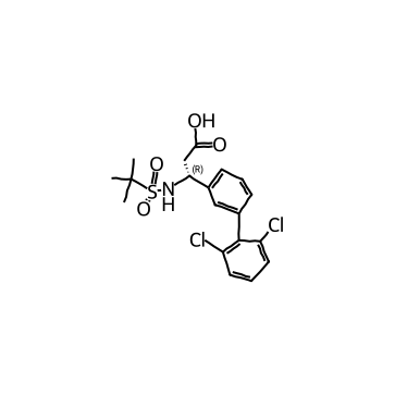 CC(C)(C)S(=O)(=O)N[C@H](CC(=O)O)c1cccc(-c2c(Cl)cccc2Cl)c1